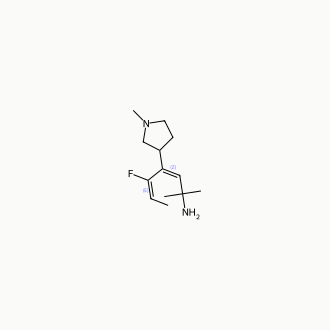 C/C=C(F)\C(=C/C(C)(C)N)C1CCN(C)C1